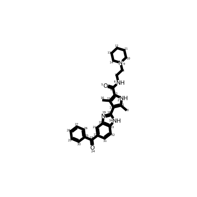 Cc1[nH]c(C(=O)NCCN2CCCCC2)c(C)c1-c1nc2cc(C(=O)c3ccccc3)ccc2[nH]1